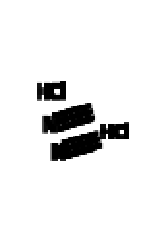 C#N.C#N.Cl.Cl